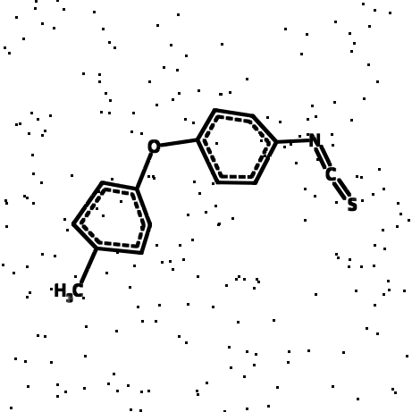 Cc1ccc(Oc2ccc(N=C=S)cc2)cc1